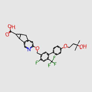 CC(C)(O)CCOc1ccc(-c2cc(COc3cc4c(cn3)C3C(C4)C3C(=O)O)c(F)cc2C(F)(F)F)cc1